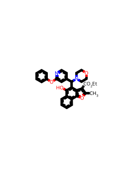 CCOC(=O)c1c(C)oc2c1c(C(c1ccnc(Oc3ccccc3)c1)N1CCOCC1)c(O)c1ccccc12